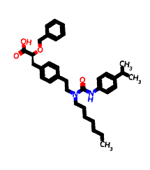 CCCCCCCN(CCc1ccc(C[C@H](OCc2ccccc2)C(=O)O)cc1)C(=O)Nc1ccc(C(C)C)cc1